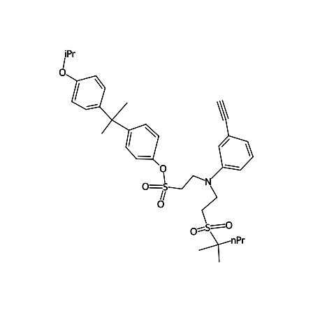 C#Cc1cccc(N(CCS(=O)(=O)Oc2ccc(C(C)(C)c3ccc(OC(C)C)cc3)cc2)CCS(=O)(=O)C(C)(C)CCC)c1